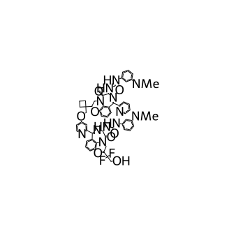 CNc1cccc(NC(=O)N[C@@H]2N=C(c3cc(OCC4(C(=O)CN5C(=O)[C@H](NC(=O)Nc6cccc(NC)c6)N=C(c6ccccn6)c6ccccc65)CCC4)ccn3)c3ccccc3N(CC(=O)C(F)(F)CO)C2=O)c1